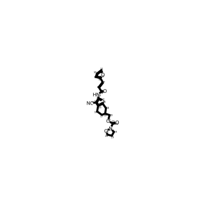 N#Cc1c(NC(=O)C=Cc2ccco2)sc2c1CCC(COC(=O)N1CCCO1)C2